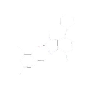 CCC(CO)c1ccc(Cl)c2nc(Oc3c(C)cc(Cl)cc3Cl)n(C)c12